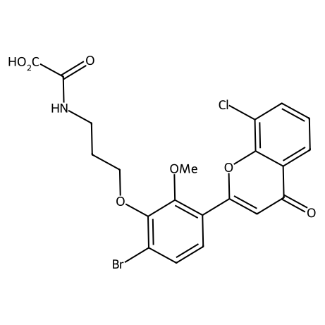 COc1c(-c2cc(=O)c3cccc(Cl)c3o2)ccc(Br)c1OCCCNC(=O)C(=O)O